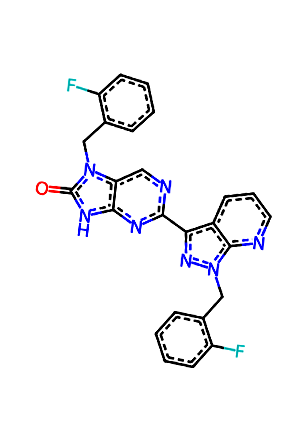 O=c1[nH]c2nc(-c3nn(Cc4ccccc4F)c4ncccc34)ncc2n1Cc1ccccc1F